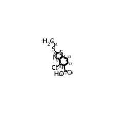 [CH2]CSc1nc2c(Cl)c(C(=O)O)ccc2s1